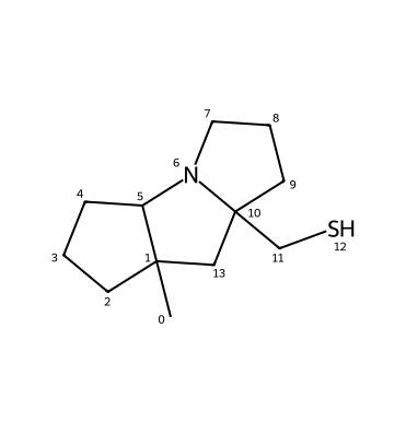 CC12CCCC1N1CCCC1(CS)C2